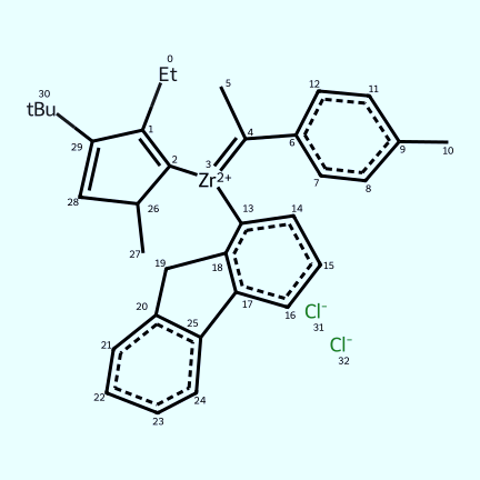 CCC1=[C](/[Zr+2](=[C](\C)c2ccc(C)cc2)[c]2cccc3c2Cc2ccccc2-3)C(C)C=C1C(C)(C)C.[Cl-].[Cl-]